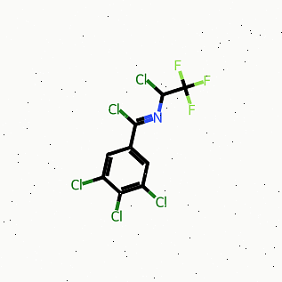 FC(F)(F)C(Cl)N=C(Cl)c1cc(Cl)c(Cl)c(Cl)c1